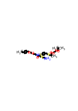 C=Cc1ccc(COCCOCCCNC(=O)C(CSCCN)Sc2ccc(CCSCC(C)C(=O)OCCOC(=O)C(=C)C)cc2)cc1